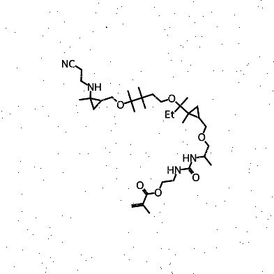 C=C(C)C(=O)OCCNC(=O)NC(C)COCC1CC1(C)C(C)(CC)OCCC(C)(C)C(C)(C)OCC1CC1(C)NCCC#N